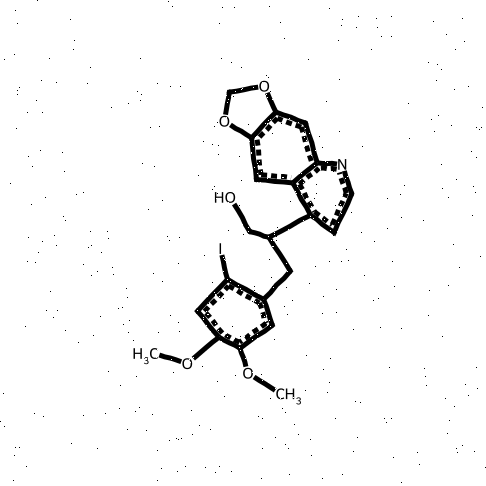 COc1cc(I)c(CC(CO)c2ccnc3cc4c(cc23)OCO4)cc1OC